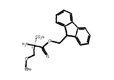 CC(C)(C)OC[C@](N)(C(=O)O)C(=O)OCC1c2ccccc2-c2ccccc21